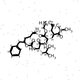 C=CCCC(Cc1ccccc1)OC(=O)N[C@@H](CC(C)C)C(=O)N[C@@H](CC(CC=C)C(=O)N(C)C)C(=O)OCC